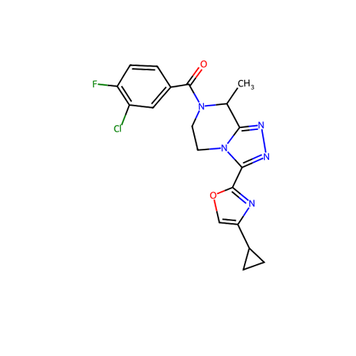 CC1c2nnc(-c3nc(C4CC4)co3)n2CCN1C(=O)c1ccc(F)c(Cl)c1